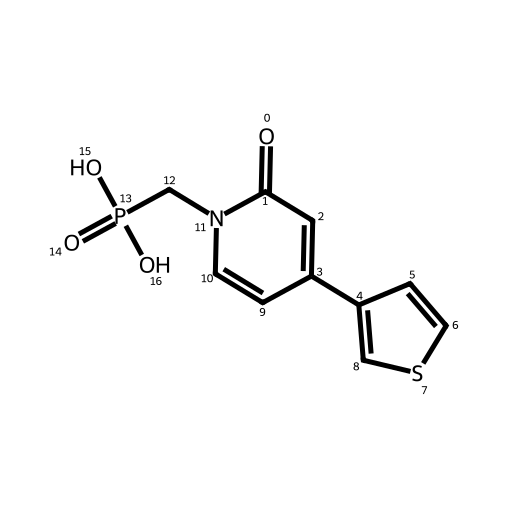 O=c1cc(-c2ccsc2)ccn1CP(=O)(O)O